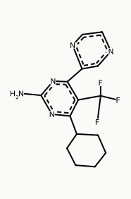 Nc1nc(-c2cnccn2)c(C(F)(F)F)c(C2CCCCC2)n1